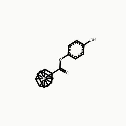 O=C(Oc1ccc(O)cc1)[C]12[CH]3[CH]4[CH]5[CH]1[Fe]45321678[CH]2[CH]1[CH]6[CH]7[CH]28